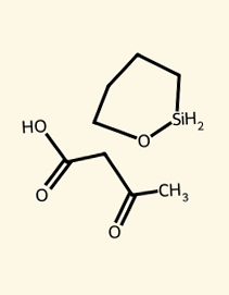 C1CC[SiH2]OC1.CC(=O)CC(=O)O